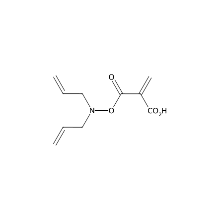 C=CCN(CC=C)OC(=O)C(=C)C(=O)O